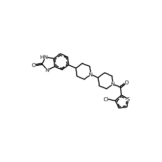 O=C1[N]c2cc(C3CCN(C4CCN(C(=O)c5sccc5Cl)CC4)CC3)ccc2N1